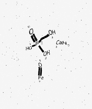 O=P(O)(O)O.[CaH2].[O]=[Fe]